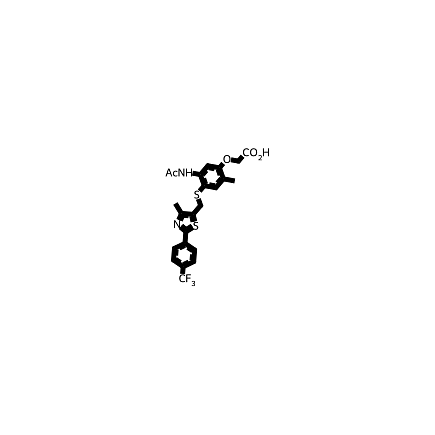 CC(=O)Nc1cc(OCC(=O)O)c(C)cc1SCc1sc(-c2ccc(C(F)(F)F)cc2)nc1C